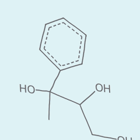 CC(O)(c1ccccc1)C(O)CO